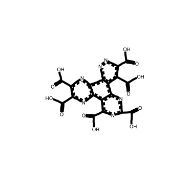 O=C(O)c1nc(C(=O)O)c2c3nc(C(=O)O)c(C(=O)O)nc3c3nnc(C(=O)O)c(C(=O)O)c3c2n1